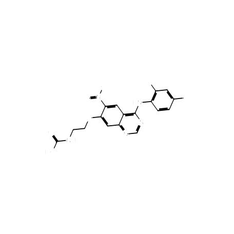 O=C(O)NCCOc1cc2ncnc(Nc3ccc(Cl)cc3F)c2cc1[N+](=O)[O-]